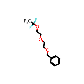 FC(F)(F)C(F)(F)OCCOCCOCc1ccccc1